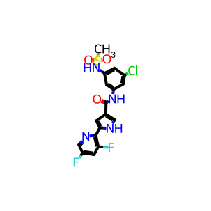 CS(=O)(=O)Nc1cc(Cl)cc(NC(=O)c2c[nH]c(-c3ncc(F)cc3F)c2)c1